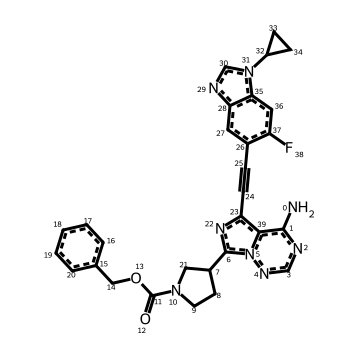 Nc1ncnn2c(C3CCN(C(=O)OCc4ccccc4)C3)nc(C#Cc3cc4ncn(C5CC5)c4cc3F)c12